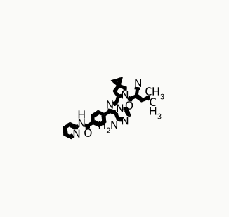 CC(C)C=C(C#N)C(=O)N1CC2(CC2)CC1c1nc(-c2ccc(C(=O)Nc3ccccn3)cc2)c2c(N)nccn12